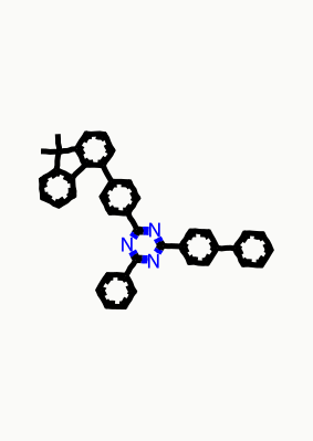 CC1(C)c2ccccc2-c2c(-c3ccc(-c4nc(-c5ccccc5)nc(-c5ccc(-c6ccccc6)cc5)n4)cc3)cccc21